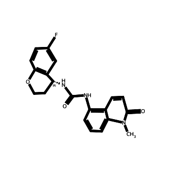 Cn1c(=O)ccc2c(NC(=O)N[C@@H]3CCOc4ccc(F)cc43)cccc21